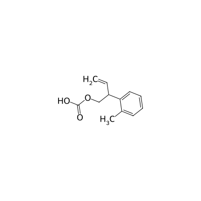 C=CC(COC(=O)O)c1ccccc1C